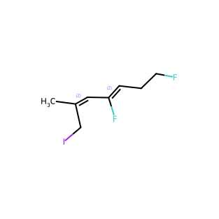 C/C(=C/C(F)=C/CCF)CI